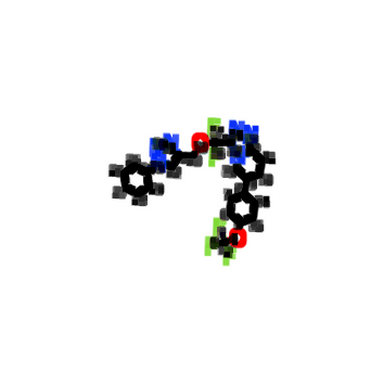 FC(F)(F)Oc1ccc(-c2ccc3nnc(C(F)(F)OCc4cn(-c5ccccc5)nn4)n3c2)cc1